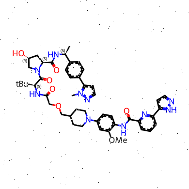 COc1cc(N2CCC(COCC(=O)N[C@H](C(=O)N3C[C@H](O)C[C@H]3C(=O)N[C@@H](C)c3ccc(-c4ccnn4C)cc3)C(C)(C)C)CC2)ccc1NC(=O)c1cccc(-c2ccn[nH]2)n1